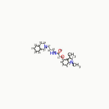 Cc1cn(C)c2cccc(OCC(=O)NCCCN3CCc4ccccc4C3)c12